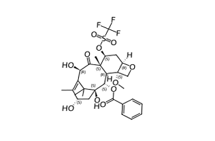 CO[C@@]12CO[C@@H]1C[C@H](OS(=O)(=O)C(F)(F)F)[C@@]1(C)C(=O)[C@H](O)C3=C(C)[C@@H](O)C[C@@](O)([C@@H](OC(=O)c4ccccc4)[C@H]21)C3(C)C